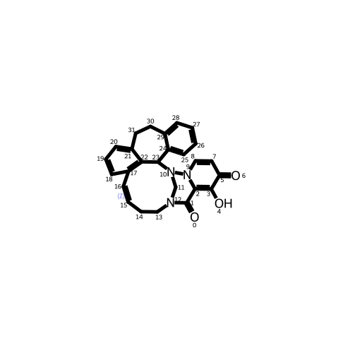 O=C1c2c(O)c(=O)ccn2N2CN1CC/C=C\c1cccc3c1C2c1ccccc1CC3